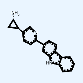 N[C@H]1C[C@@H]1c1ccc(-c2ccc3c(c2)[nH]c2ccccc23)nc1